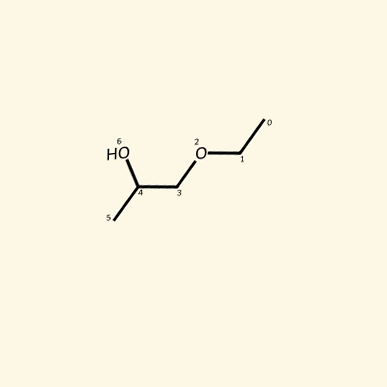 CCOCC(C)O